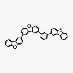 c1cc(-c2ccc3oc4ccc(-c5ccc6oc7ccccc7c6c5)cc4c3c2)cc(-c2ccc3sc4ccccc4c3c2)c1